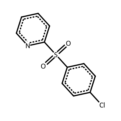 O=S(=O)(c1ccc(Cl)cc1)c1ccccn1